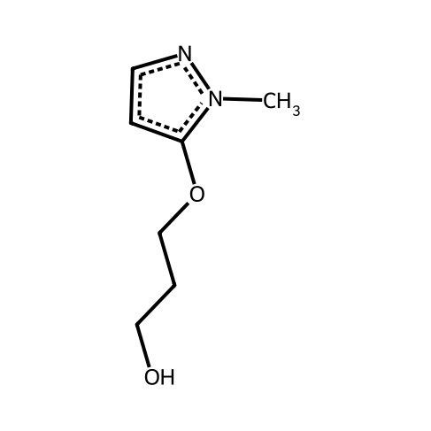 Cn1nccc1OCCCO